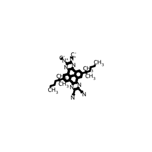 [C-]#[N+]c1nc2c3cc(C(C)(C)CCCC)cc4c5nc(C#N)c(C#N)nc5c5cc(C(C)(C)CCCC)cc(c2nc1[N+]#[C-])c5c43